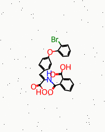 O=C(O)/C(=C/c1ccc(Oc2ccccc2Br)cc1)NC(=O)c1ccccc1C(=O)O